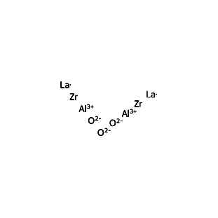 [Al+3].[Al+3].[La].[La].[O-2].[O-2].[O-2].[Zr].[Zr]